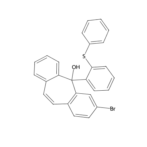 OC1(c2ccccc2Sc2ccccc2)c2ccccc2C=Cc2ccc(Br)cc21